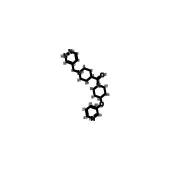 O=C(C1CCN(Cc2ccnnc2)CC1)N1CCC(Oc2cccnc2)CC1